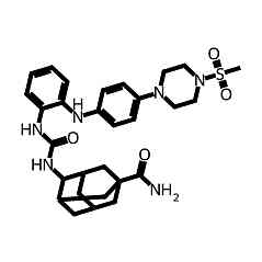 CS(=O)(=O)N1CCN(c2ccc(Nc3ccccc3NC(=O)NC3C4CC5CC3CC(C(N)=O)(C5)C4)cc2)CC1